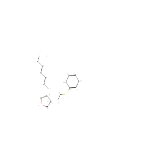 O=C(O)CCCCCC[C@H]1COC[C@H]1CCSC1CCCCC1